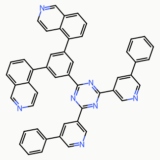 c1ccc(-c2cncc(-c3nc(-c4cncc(-c5ccccc5)c4)nc(-c4cc(-c5cccc6cnccc56)cc(-c5cccc6cnccc56)c4)n3)c2)cc1